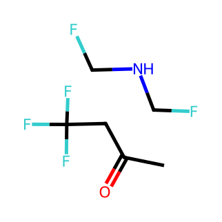 CC(=O)CC(F)(F)F.FCNCF